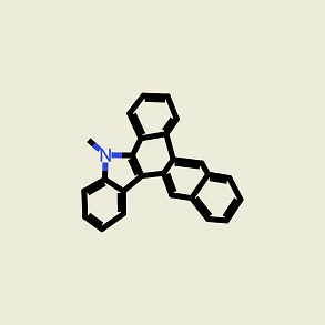 Cn1c2ccccc2c2c3cc4ccccc4cc3c3ccccc3c21